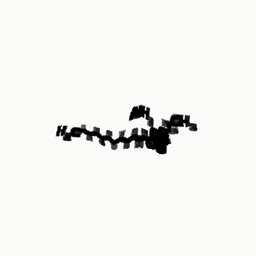 CCCCCCCCCCCCOS(=O)(=O)OOCCC.[AlH3]